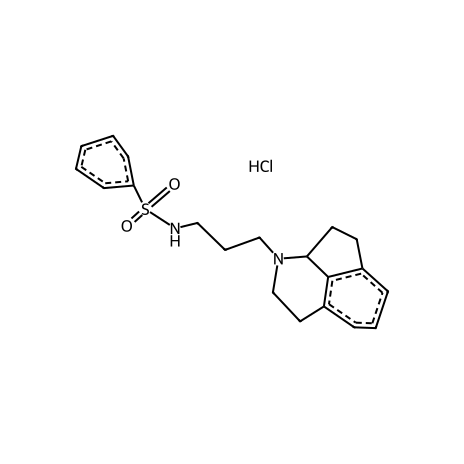 Cl.O=S(=O)(NCCCN1CCc2cccc3c2C1CC3)c1ccccc1